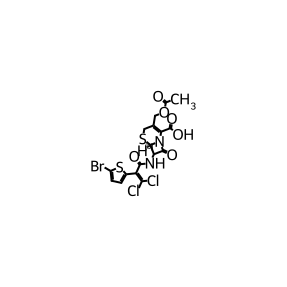 CC(=O)OCC1=C(C(=O)O)N2C(=O)C(NC(=O)C(=C(Cl)Cl)c3ccc(Br)s3)[C@@H]2SC1